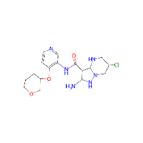 NC1NN2CC(Cl)CNC2C1C(=O)Nc1cnccc1OC1CCCOC1